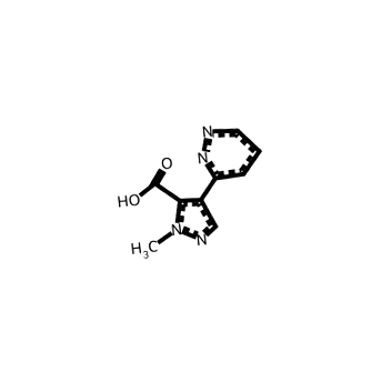 Cn1ncc(-c2cccnn2)c1C(=O)O